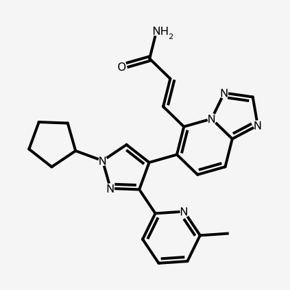 Cc1cccc(-c2nn(C3CCCC3)cc2-c2ccc3ncnn3c2/C=C/C(N)=O)n1